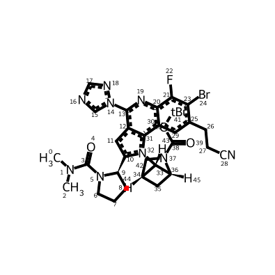 CN(C)C(=O)N1CCC[C@@H]1c1cc2c(-n3cncn3)nc3c(F)c(Br)c(CCC#N)cc3c2n1[C@H]1[C@@H]2C[C@H]1N(C(=O)OC(C)(C)C)C2